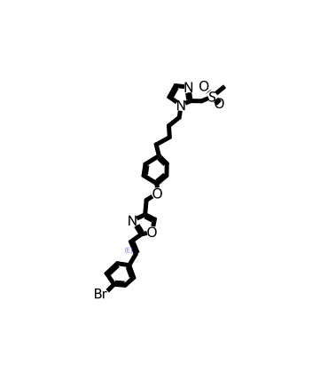 CS(=O)(=O)Cc1nccn1CCCCc1ccc(OCc2coc(/C=C/c3ccc(Br)cc3)n2)cc1